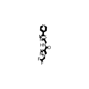 O=C(NCc1nnc(-c2ccncc2)s1)c1cn(CC(F)F)nn1